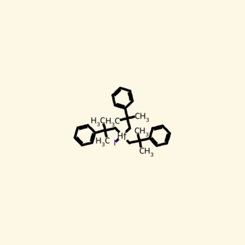 CC(C)([CH2][Hf]([I])([CH2]C(C)(C)c1ccccc1)[CH2]C(C)(C)c1ccccc1)c1ccccc1